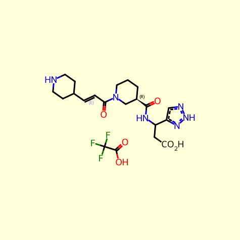 O=C(O)C(F)(F)F.O=C(O)CC(NC(=O)[C@@H]1CCCN(C(=O)/C=C/C2CCNCC2)C1)c1cn[nH]n1